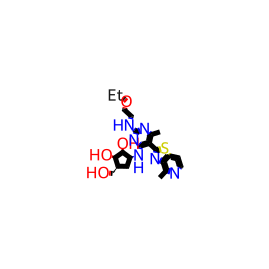 CCOCCNc1nc(C)c(-c2nc3c(C)nccc3s2)c(N[C@@H]2C[C@H](CO)[C@@H](O)[C@H]2O)n1